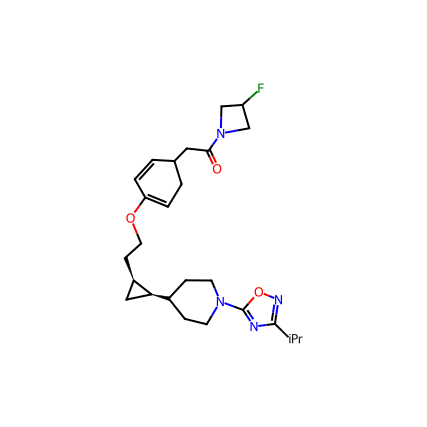 CC(C)c1noc(N2CCC([C@H]3C[C@H]3CCOC3=CCC(CC(=O)N4CC(F)C4)C=C3)CC2)n1